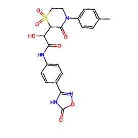 Cc1ccc(N2CCS(=O)(=O)C(C(O)C(=O)Nc3ccc(-c4noc(=O)[nH]4)cc3)C2=O)cc1